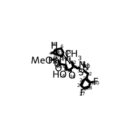 COC(=O)[C@]12C[C@H]1CCC21NC(=O)c2c(O)c(=O)c(-c3nnc(Cc4ccc(F)cc4F)s3)cn2N1C